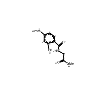 CCCCCc1ccc(C(=O)NCC(=O)OC)c(C)c1